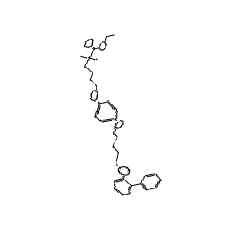 CCOC(=O)C(C)(C)CCCCOc1ccc(OCCCCCOc2ccccc2-c2ccccc2)cc1